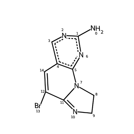 Nc1ncc2c(n1)N1CCN=C1C(Br)=C2